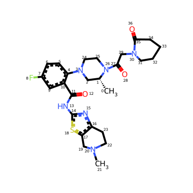 C[C@@H]1CN(c2ccc(F)cc2C(=O)Nc2nc3c(s2)CN(C)CC3)CCN1C(=O)CN1CCCCC1=O